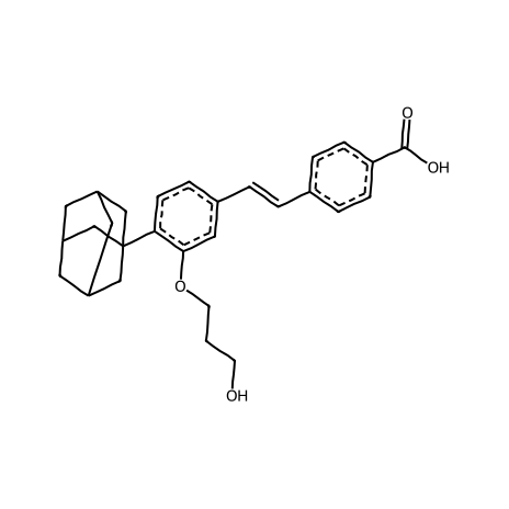 O=C(O)c1ccc(/C=C/c2ccc(C34CC5CC(CC(C5)C3)C4)c(OCCCO)c2)cc1